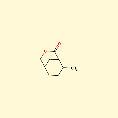 CC1CCC2COC(=O)C1C2